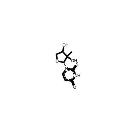 CC1(O)C(O)CO[C@H]1n1ccc(=O)[nH]c1=S